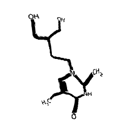 C=C1NC(=O)C(C)=CN1CCC(CO)CO